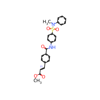 COC(=O)/C=C/c1ccc(C(=O)Nc2ccc(S(=O)(=O)N(C)c3ccccc3)cc2)cc1